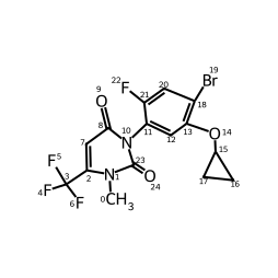 Cn1c(C(F)(F)F)cc(=O)n(-c2cc(OC3CC3)c(Br)cc2F)c1=O